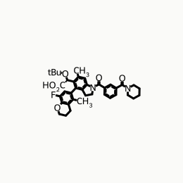 Cc1cc2c(c(-c3cc(F)c4c(c3C)CCCO4)c1[C@H](OC(C)(C)C)C(=O)O)CCN2C(=O)c1cccc(C(=O)N2CCCCC2)c1